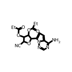 CCC(=O)OC1C(C#N)OC(c2ccc3c(N)ncnn23)C1OC(=O)CC